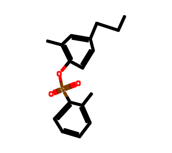 CCCc1ccc(OS(=O)(=O)c2ccccc2C)c(C)c1